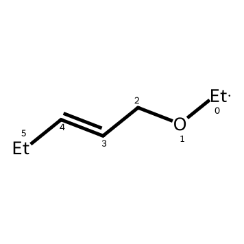 C[CH]OCC=CCC